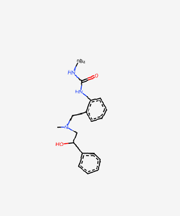 CCCCNC(=O)Nc1ccccc1CN(C)CC(O)c1ccccc1